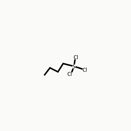 CCCCS(Cl)(Cl)Cl